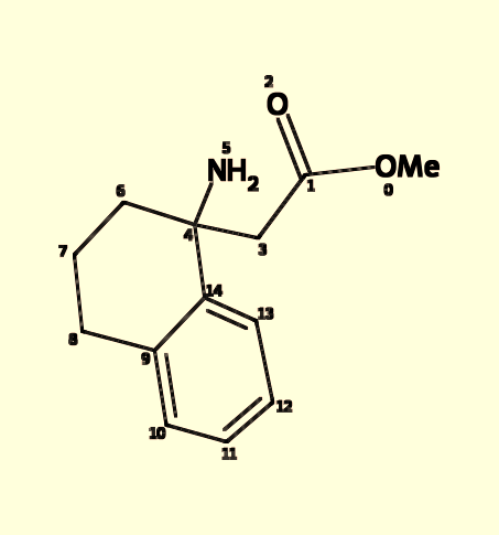 COC(=O)CC1(N)CCCc2ccccc21